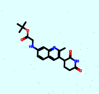 Cc1nc2cc(NCC(=O)OC(C)(C)C)ccc2cc1C1CCC(=O)NC1=O